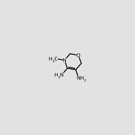 CN1COCC(N)=C1N